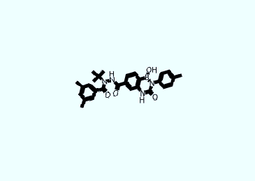 Cc1ccc(N2B(O)c3ccc(C(=O)NN(C(=O)c4cc(C)cc(C)c4)C(C)(C)C)cc3NC2=O)cc1